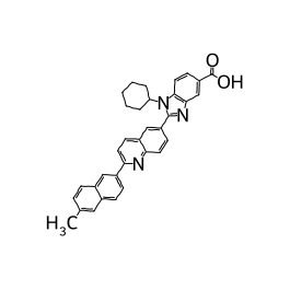 Cc1ccc2cc(-c3ccc4cc(-c5nc6cc(C(=O)O)ccc6n5C5CCCCC5)ccc4n3)ccc2c1